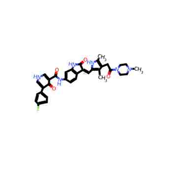 Cc1[nH]c(/C=C2\C(=O)Nc3cc(NC(=O)c4c[nH]cc(-c5ccc(F)cc5)c4=O)ccc32)c(C)c1CC(=O)N1CCN(C)CC1